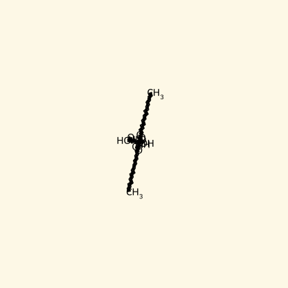 CCCCCCCCCCCCCCCCCCOC(=O)NC(CCCC(=O)O)(NC(=O)OCCCCCCCCCCCCCCCCCC)C(=O)O